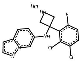 Cl.Fc1ccc(Cl)c(Cl)c1C1(Nc2ccc3ccnn3c2)CNC1